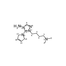 CN(C)CCCCn1ncc(N)c1N1CC=CC1